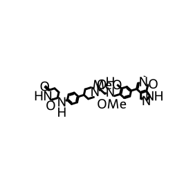 COc1cc(-c2cn(C)c(=O)c3[nH]ncc23)cc(OC)c1CNCC(=O)N1CCC(c2ccc(NC3CCC(=O)NC3=O)cc2)CC1